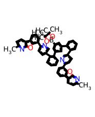 Cc1ccc2c(n1)oc1c(-c3ccc(-c4ccccc4-c4cc(B5OC(C)(C)C(C)(C)O5)cc(-c5ccccc5-c5ccc(-c6cccc7c6oc6nc(C)ccc67)nc5)c4)cn3)cccc12